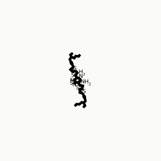 CCCCC(CC)CC#Cc1cc2sc(-c3c(N)c(N)c(-c4cc5sc(C#CCC(CC)CCCC)cc5s4)c4nsnc34)cc2s1